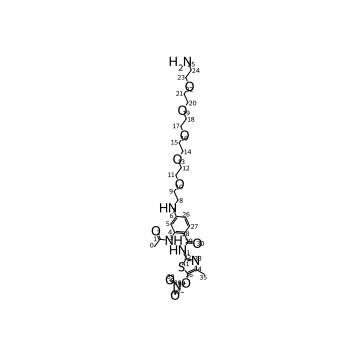 CC(=O)Nc1cc(NCCOCCOCCOCCOCCOCCN)ccc1C(=O)Nc1nc(C)c(O[N+](=O)[O-])s1